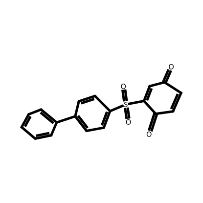 O=C1C=CC(=O)C(S(=O)(=O)c2ccc(-c3ccccc3)cc2)=C1